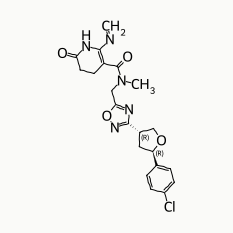 C=NC1=C(C(=O)N(C)Cc2nc([C@@H]3CO[C@@H](c4ccc(Cl)cc4)C3)no2)CCC(=O)N1